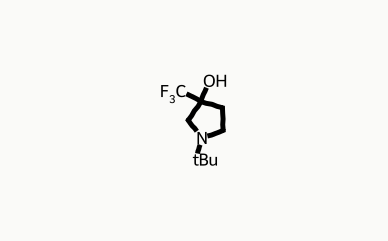 CC(C)(C)N1CCC(O)(C(F)(F)F)C1